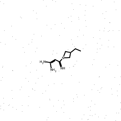 CCC1CN(C(=N)C=C(N)N)C1